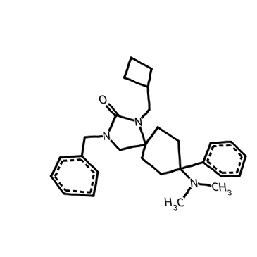 CN(C)C1(c2ccccc2)CCC2(CC1)CN(Cc1ccccc1)C(=O)N2CC1CCC1